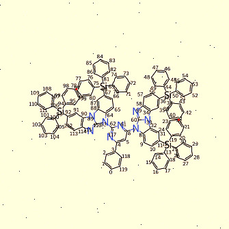 c1ccc(-c2cc(-n3c4ccc([Si](c5ccccc5)(c5ccccc5)c5ccccc5)cc4n4c5cc([Si](c6ccccc6)(c6ccccc6)c6ccccc6)ccc5nc34)nc(-n3c4ccc([Si](c5ccccc5)(c5ccccc5)c5ccccc5)cc4n4c5cc([Si](c6ccccc6)(c6ccccc6)c6ccccc6)ccc5nc34)n2)cc1